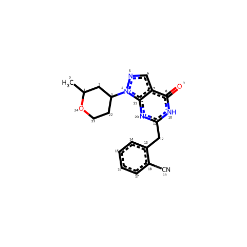 CC1CC(n2ncc3c(=O)[nH]c(Cc4ccccc4C#N)nc32)CCO1